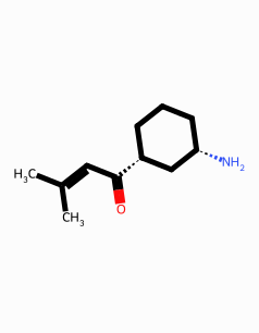 CC(C)=CC(=O)[C@@H]1CCC[C@H](N)C1